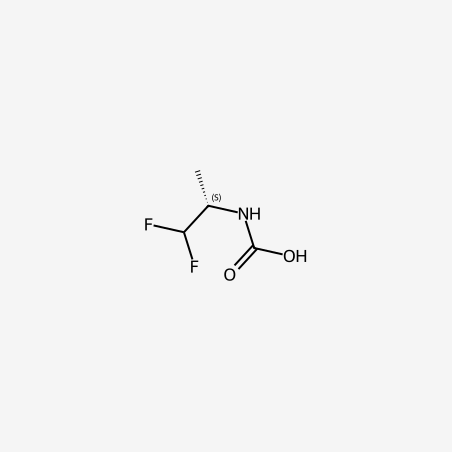 C[C@H](NC(=O)O)C(F)F